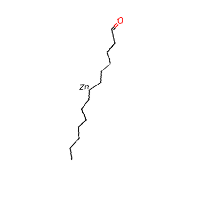 CCCCCCCCCCCCCC=O.[Zn]